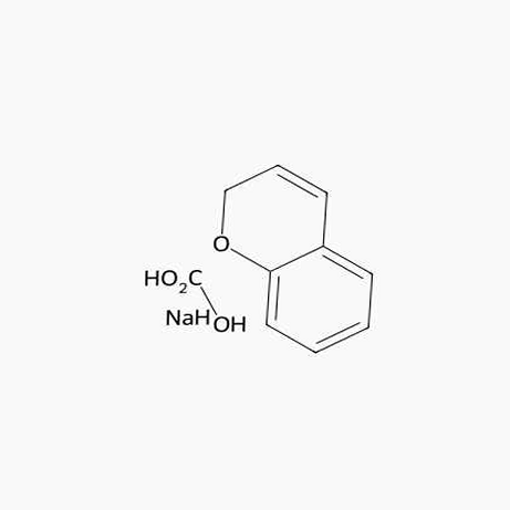 C1=Cc2ccccc2OC1.O=C(O)O.[NaH]